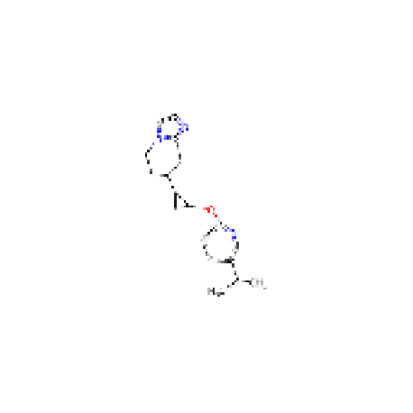 CC(C)c1ccc(OC2CC2C2CCn3ccnc3C2)nc1